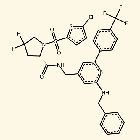 O=C(NCc1cc(NCc2ccccc2)nc(-c2ccc(C(F)(F)F)cc2)c1)[C@@H]1CC(F)(F)CN1S(=O)(=O)c1ccc(Cl)s1